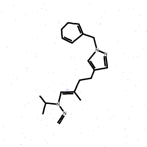 C=NN(/C=C(\C)CCc1cnn(CC2=CCCC=C2)c1)C(C)C